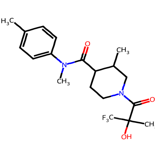 Cc1ccc(N(C)C(=O)C2CCN(C(=O)C(C)(O)C(F)(F)F)CC2C)cc1